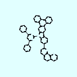 c1ccc(-c2cc(-c3ccccc3)nc(-n3c4cc(-c5ccc6ccc7cccnc7c6n5)ccc4c4cc5c6ccccc6c6ccccc6c5cc43)n2)cc1